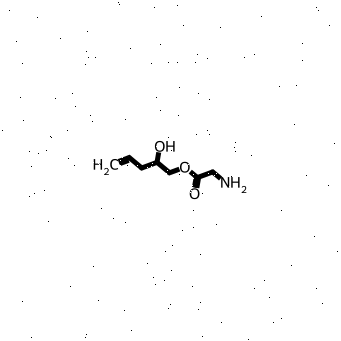 C=CCC(O)COC(=O)CN